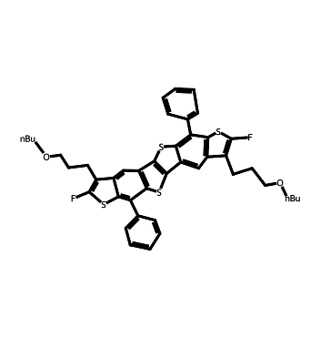 CCCCOCCCc1c(F)sc2c(-c3ccccc3)c3sc4c5cc6c(CCCOCCCC)c(F)sc6c(-c6ccccc6)c5sc4c3cc12